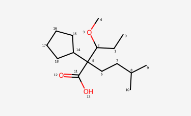 CCC(OC)C(CCC(C)C)(C(=O)O)C1CCCC1